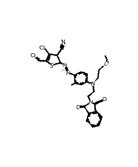 COCCN(CCN1C(=O)c2ccccc2C1=O)c1ccc(/N=N/C2SC(C=O)=C(Cl)C2C#N)c(C)c1